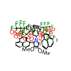 CO[C@H]1[C@H](OC)[C@@H](C2(OS(=O)(=O)C(F)(F)C(F)(F)C(F)(F)C(F)(F)F)C=Cc3cccc4c(OS(=O)(=O)C(F)(F)C(F)(F)C(F)(F)C(F)(F)F)ccc2c34)N(c2ccc(C(C)(C)C)cc2)[C@@H]1C1(OS(=O)(=O)C(F)(F)C(F)(F)C(F)(F)C(F)(F)F)C=Cc2cccc3c(OS(=O)(=O)C(F)(F)C(F)(F)C(F)(F)C(F)(F)F)ccc1c23